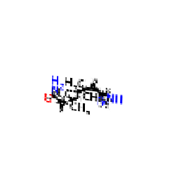 CC(C)(CCC(C)(C)[C@@H]1C[C@@H]1C(N)=O)C1CC1c1c[nH]cn1